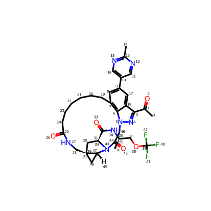 CC(=O)c1nn2c3c(cc(-c4cnc(C)nc4)cc13)CCCCCCC(=O)NC[C@@]13C[C@@H](C(=O)N[C@H](C)COC(F)(F)F)N(C(=O)C2)[C@@H]1C3